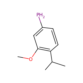 COc1cc(P)ccc1C(C)C